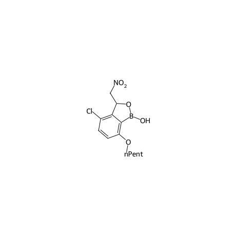 CCCCCOc1ccc(Cl)c2c1B(O)OC2C[N+](=O)[O-]